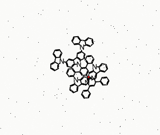 c1ccc(-c2cc(-c3ccccc3)nc(-c3cc(-c4ccccc4-n4c5ccccc5c5ccccc54)c(-n4c5ccc(-n6c7ccccc7c7ccccc76)cc5c5cc(-n6c7ccccc7c7ccccc76)ccc54)c(-c4ccccc4-n4c5ccccc5c5ccccc54)c3)n2)cc1